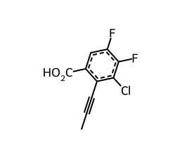 CC#Cc1c(C(=O)O)cc(F)c(F)c1Cl